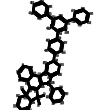 CC1(C)c2c(c3ccccc3c3c4c(n(-c5ccccc5)c23)=CCC(c2ccc(-c3nc(-c5ccccc5)cc(-c5ccccc5)n3)cc2)C=4)C2(C)C=CC=CC12